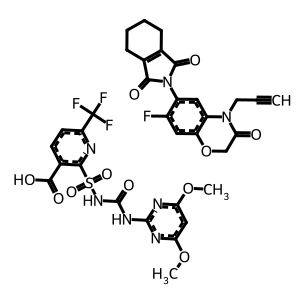 C#CCN1C(=O)COc2cc(F)c(N3C(=O)C4=C(CCCC4)C3=O)cc21.COc1cc(OC)nc(NC(=O)NS(=O)(=O)c2nc(C(F)(F)F)ccc2C(=O)O)n1